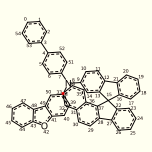 c1ccc(-c2ccc(N(c3ccc4c(c3)C3(c5ccccc5-4)c4ccccc4-c4ccc5ccccc5c43)c3ccc4oc5ccccc5c4c3)cc2)cc1